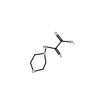 NC(=O)C(=S)NN1CCOCC1